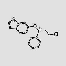 ClCC[C@@H](Oc1ccc2ccsc2c1)c1ccccc1